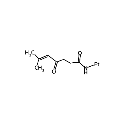 CCNC(=O)CCC(=O)C=C(C)C